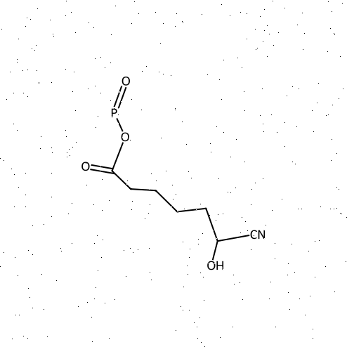 N#CC(O)CCCCC(=O)OP=O